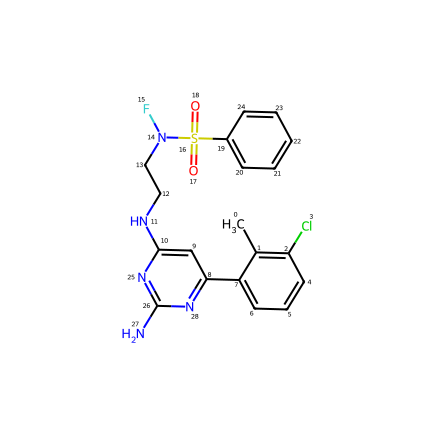 Cc1c(Cl)cccc1-c1cc(NCCN(F)S(=O)(=O)c2ccccc2)nc(N)n1